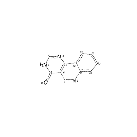 O=c1[nH]cnc2c1cnc1ccccc12